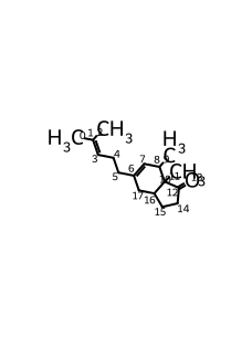 CC(C)=CCCC1=CC(C)C2(C)C(=O)CCC2C1